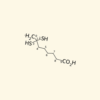 [CH2]C(S)(S)CCCCCC(=O)O